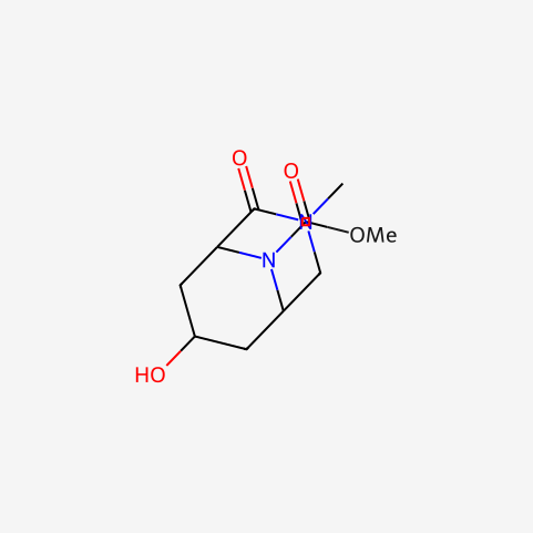 COC(=O)N1C2CC(O)CC1C(=O)N(C)C2